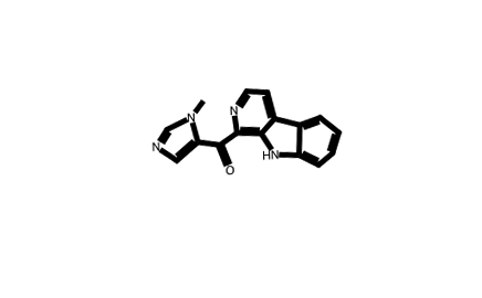 Cn1cncc1C(=O)c1nccc2c1[nH]c1ccccc12